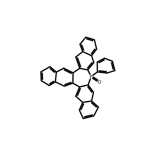 O=P1(c2ccccc2)c2cc3ccccc3cc2-c2cc3ccccc3cc2-c2cc3ccccc3cc21